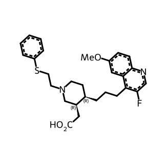 COc1ccc2ncc(F)c(CCC[C@@H]3CCN(CCSc4ccccc4)C[C@@H]3CC(=O)O)c2c1